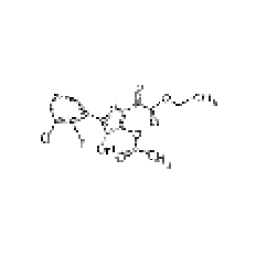 CCOC(=O)Nc1oc(-c2cccc(Cl)c2F)c(O)c1OC(C)=O